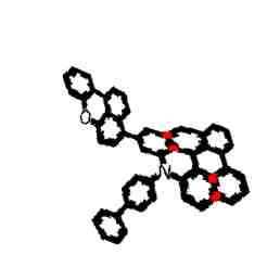 c1ccc(-c2ccc(N(c3cccc(-c4ccc5c6c(cccc46)-c4ccccc4O5)c3)c3ccccc3-c3cccc4cccc(-c5ccccc5)c34)cc2)cc1